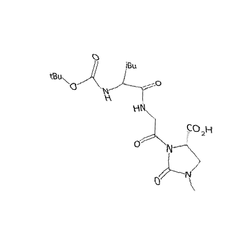 CCC(C)C(NC(=O)OC(C)(C)C)C(=O)NCC(=O)N1C(=O)N(C)C[C@H]1C(=O)O